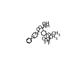 CC(C)C[C@@]1(OC(=O)C(F)(F)F)CC[C@H](C(=O)N2CCN(c3ccccc3)CC2)[C@@H](C(=O)NO)C1